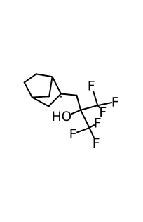 OC(C[C]1CC2CCC1C2)(C(F)(F)F)C(F)(F)F